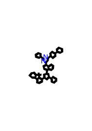 CC1(C)c2ccccc2-c2cccc(-c3cc(-c4ccccc4)cc(-c4ccc(-c5cc(-c6ccc(-c7ccccc7)cc6)nc(-c6ccccc6)n5)c5ccccc45)c3)c21